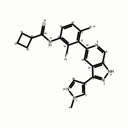 Cn1cc(-c2n[nH]c3cnc(-c4c(F)ccc(NC(=O)C5CCC5)c4F)cc23)cn1